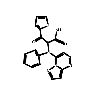 NC(=O)C(C(=O)c1cccs1)N(c1ccccc1)c1ccnc2ccnn12